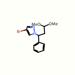 COC(CC(c1ccccc1)n1cc(Br)cn1)OC